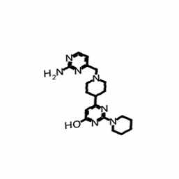 Nc1nccc(CN2CCC(c3cc(O)nc(N4CCCCC4)n3)CC2)n1